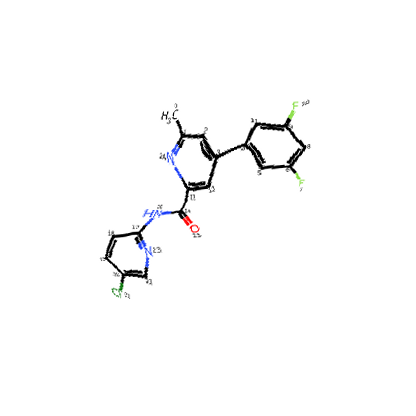 Cc1cc(-c2cc(F)cc(F)c2)cc(C(=O)Nc2ccc(Cl)cn2)n1